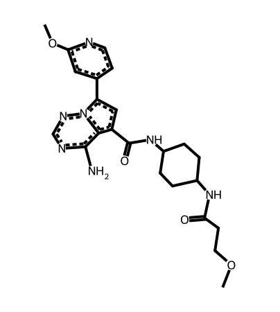 COCCC(=O)NC1CCC(NC(=O)c2cc(-c3ccnc(OC)c3)n3ncnc(N)c23)CC1